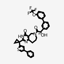 O=C([C@H](O)c1cccc(-c2cccc(OC(F)(F)F)c2)c1)N1CCCc2nc(C3(c4cc(-c5ccccc5)cs4)CC3)[nH]c(=O)c2C1